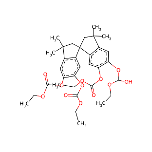 CCOC(=O)Oc1cc2c(cc1OC(=O)OCC)C1(CC2(C)C)CC(C)(C)c2cc(OC(O)OCC)c(OC(=O)OCC)cc21